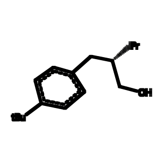 CC(C)[C@H](CO)Cc1ccc(C(C)(C)C)cc1